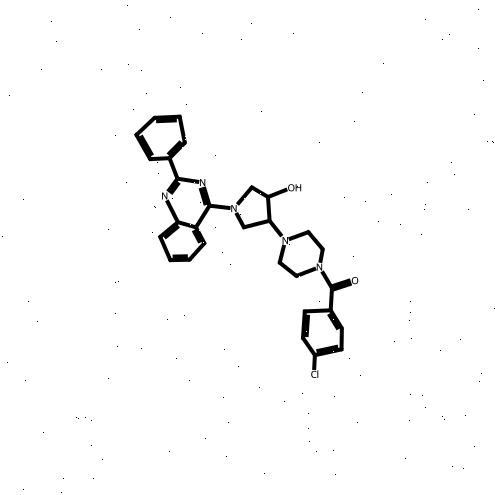 O=C(c1ccc(Cl)cc1)N1CCN(C2CN(c3nc(-c4ccccc4)nc4ccccc34)CC2O)CC1